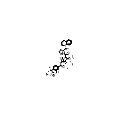 C/C(=C\C(=O)N[C@H](C(=O)N1CCC[C@H]1C(=O)N1CCCc2ccccc21)C(C)(C)C)c1ccc(C(F)(F)P(=O)(O)O)cc1